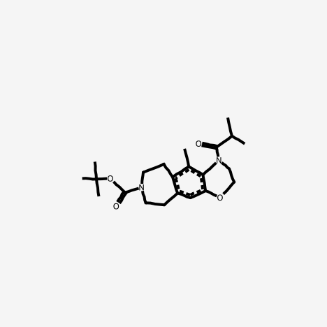 Cc1c2c(cc3c1N(C(=O)C(C)C)CCO3)CCN(C(=O)OC(C)(C)C)CC2